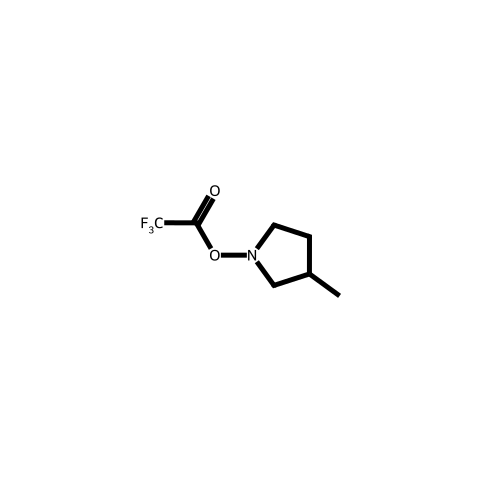 CC1CCN(OC(=O)C(F)(F)F)C1